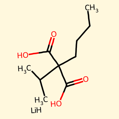 CCCCC(C(=O)O)(C(=O)O)C(C)C.[LiH]